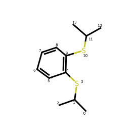 CC(C)Sc1[c]cccc1SC(C)C